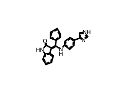 O=C1Nc2ccccc2C1=C(Nc1ccc(-c2c[nH]cn2)cc1)c1ccccc1